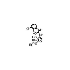 CCN(Sc1scc(NC(=O)Nc2cccc(Cl)c2Cl)c1O)C(C)(C)C